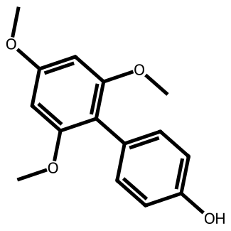 COc1cc(OC)c(-c2ccc(O)cc2)c(OC)c1